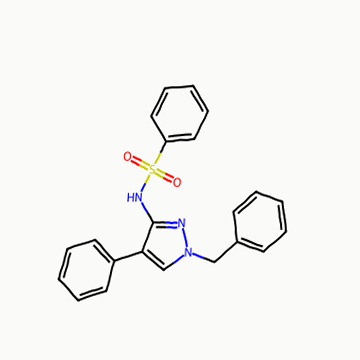 O=S(=O)(Nc1nn(Cc2ccccc2)cc1-c1ccccc1)c1ccccc1